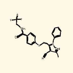 Cc1nn(-c2ccccc2)c(COc2ccc(C(=O)NCC(F)(F)F)cc2)c1C#N